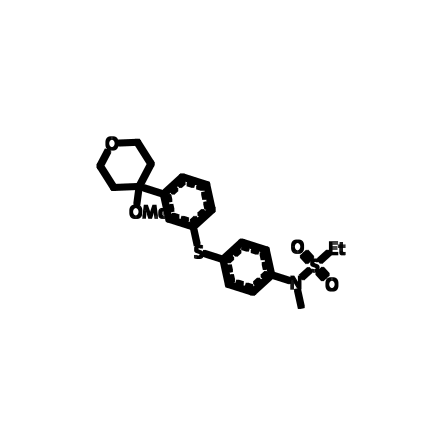 CCS(=O)(=O)N(C)c1ccc(Sc2cccc(C3(OC)CCOCC3)c2)cc1